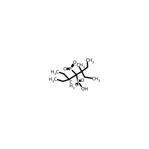 CCC(C)(CC)C(P(=O)=O)(C(C)(CC)CC)S(=O)(=O)O